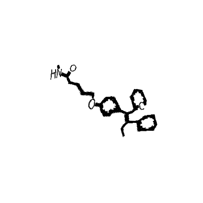 CCC(=C(c1ccccc1)c1ccc(OCCCCC(=O)NC)cc1)c1ccccc1